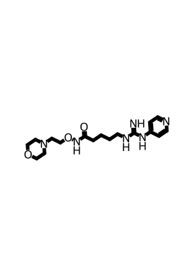 N=C(NCCCCC(=O)NOCCN1CCOCC1)Nc1ccncc1